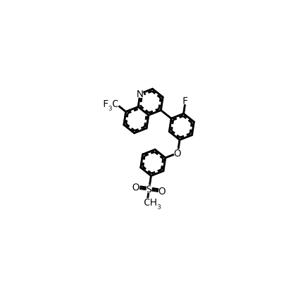 CS(=O)(=O)c1cccc(Oc2ccc(F)c(-c3ccnc4c(C(F)(F)F)cccc34)c2)c1